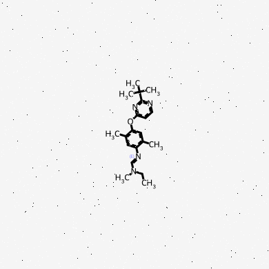 CCN(C)/C=N/c1cc(C)c(Oc2ccnc(C(C)(C)C)n2)cc1C